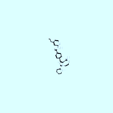 CCCc1ccnc(NC(=O)c2ccc(-c3nc([C@@H]4CCCCN4)n4ccnc(C)c34)cc2)c1